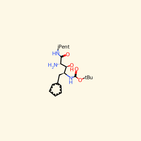 CCCC(C)NC(=O)[C@@H](N)[C@@H](O)[C@H](Cc1ccccc1)NC(=O)OC(C)(C)C